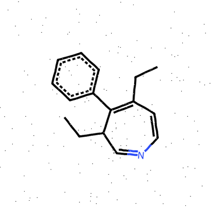 CCC1=C(c2ccccc2)C(CC)[C]=NC=C1